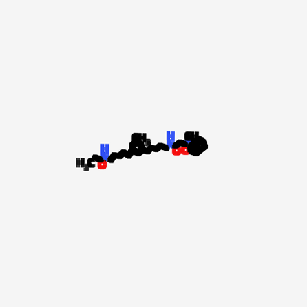 CCC(=O)NCCCCCc1cc(C)cc(CCCCCNC(=O)CC(=O)N(C)C23CC4CC(CC(C4)C2)C3)c1